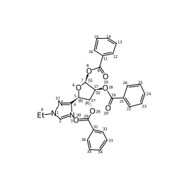 CCn1cnc([C@H]2O[C@@H](OC(=O)c3ccccc3)[C@@H](OC(=O)c3ccccc3)[C@@H]2OC(=O)c2ccccc2)n1